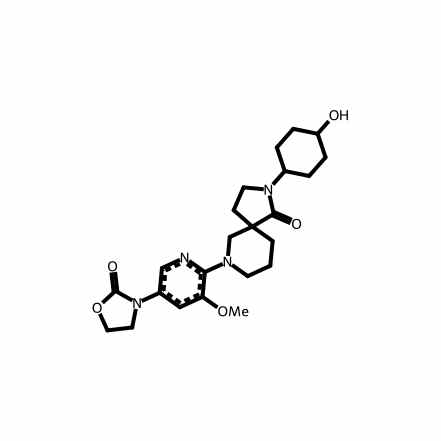 COc1cc(N2CCOC2=O)cnc1N1CCCC2(CCN(C3CCC(O)CC3)C2=O)C1